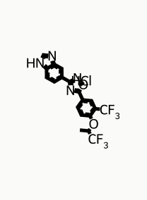 CC(Oc1ccc(-c2nc(-c3ccc4[nH]cnc4c3)no2)cc1C(F)(F)F)C(F)(F)F.Cl